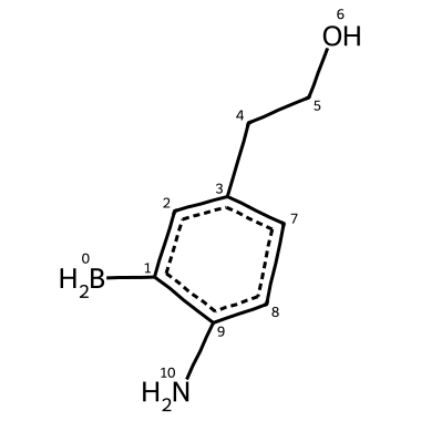 Bc1cc(CCO)ccc1N